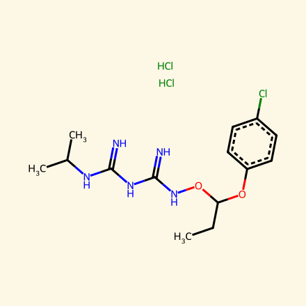 CCC(ONC(=N)NC(=N)NC(C)C)Oc1ccc(Cl)cc1.Cl.Cl